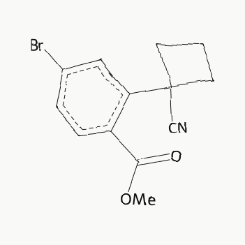 COC(=O)c1ccc(Br)cc1C1(C#N)CCC1